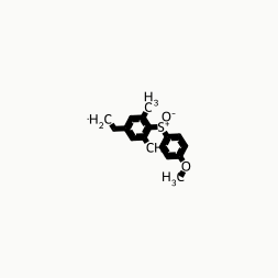 [CH2]Cc1cc(C)c([S+]([O-])c2ccc(OC)cc2)c(C)c1